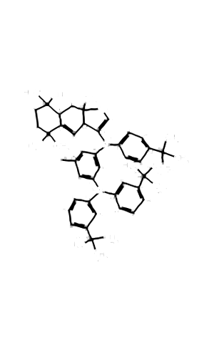 CC1(C)CCC(C)(C)C2CC3(C)SC=C(N(c4ccc(C(C)(C)C)cc4)c4cc(Cl)cc(N(c5cccc(C(C)(C)C)c5)c5cccc(C(C)(C)C)c5)c4)C3C=C21